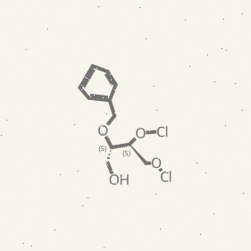 OC[C@H](OCc1ccccc1)[C@H](COCl)OCl